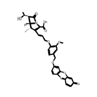 COc1cc(COc2ccc3nc4ccc(=O)cc-4oc3c2)ccc1OC/C=C/C1=C(C(=O)O)N2C(=O)[C@H](C(C)O)[C@H]2[C@H]1C